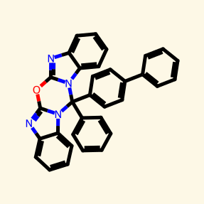 c1ccc(-c2ccc(C3(c4ccccc4)n4c(nc5ccccc54)Oc4nc5ccccc5n43)cc2)cc1